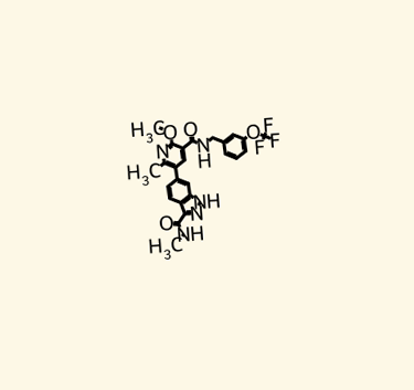 CNC(=O)c1n[nH]c2cc(-c3cc(C(=O)NCc4cccc(OC(F)(F)F)c4)c(OC)nc3C)ccc12